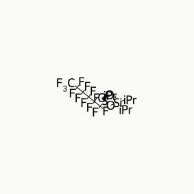 CC(C)[Si](OS(=O)(=O)C(F)(F)C(F)(F)C(F)(F)C(F)(F)C(F)(F)C(F)(F)F)(C(C)C)C(C)C